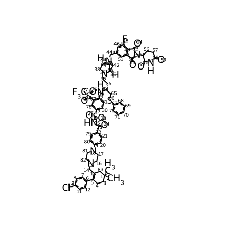 CC1(C)CCC(c2ccc(Cl)cc2)=C(CN2CCN(c3ccc(C(=O)NS(=O)(=O)c4ccc(N[C@H](CCN5C[C@H]6C[C@@H]5CN6Cc5cc(F)c6c(c5)C(=O)N(C5CCC(=O)NC5=O)C6=O)CSc5ccccc5)c(S(=O)(=O)C(F)(F)F)c4)cc3)CC2)C1